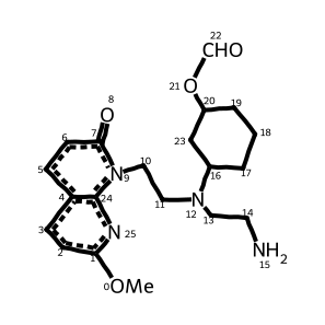 COc1ccc2ccc(=O)n(CCN(CCN)C3CCCC(OC=O)C3)c2n1